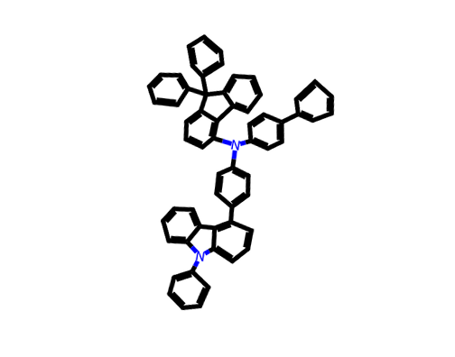 c1ccc(-c2ccc(N(c3ccc(-c4cccc5c4c4ccccc4n5-c4ccccc4)cc3)c3cccc4c3-c3ccccc3C4(c3ccccc3)c3ccccc3)cc2)cc1